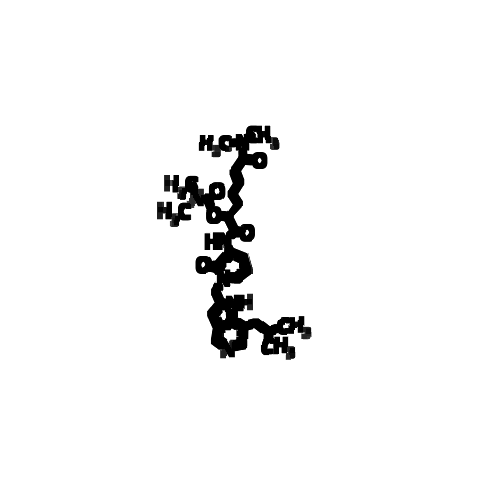 CC(C)Cc1cncc2cc(Cn3cccc(NC(=O)[C@H](CC/C=C/C(=O)N(C)C)OC(=O)N(C)C)c3=O)[nH]c12